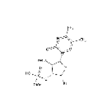 CC[C@H]1O[C@@H](n2cc(C)c(N)nc2=O)C(OC)[C@H]1OP(=O)(O)OC